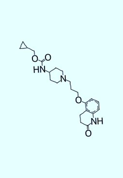 O=C1CCc2c(cccc2OCCCN2CCC(NC(=O)OCC3CC3)CC2)N1